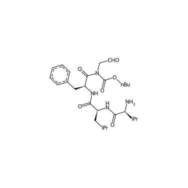 CCCCOC(=O)N(CC=O)C(=O)[C@H](Cc1ccccc1)NC(=O)[C@H](CC(C)C)NC(=O)[C@@H](N)C(C)C